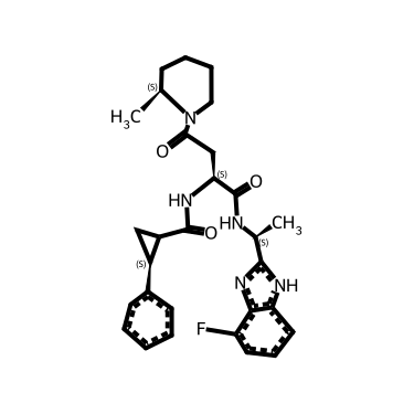 C[C@H](NC(=O)[C@H](CC(=O)N1CCCC[C@@H]1C)NC(=O)C1C[C@@H]1c1ccccc1)c1nc2c(F)cccc2[nH]1